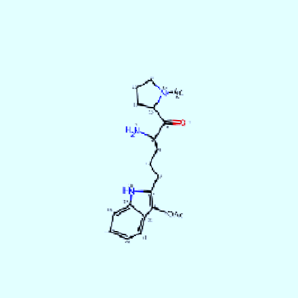 CC(=O)Oc1c(CCCC(N)C(=O)C2CCCN2C(C)=O)[nH]c2ccccc12